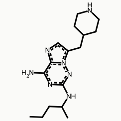 CCCC(C)Nc1nc(N)c2ncc(CC3CCNCC3)n2n1